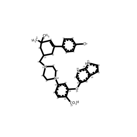 CC1(C)C=C(c2ccc(Cl)cc2)CC(CN2CCN(c3ccc(C(=O)O)c(Oc4cnc5[nH]ccc5c4)c3)CC2)C1